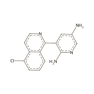 Nc1cnc(N)c(-c2nccc3c(Cl)cccc23)c1